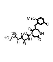 CCC(NC(=O)N1CC(=O)NCC(Cc2cc(Cl)ccc2OC)C1=O)C(=O)NC(C(=O)O)C(C)(C)C